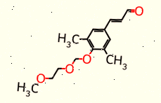 COCCOCOc1c(C)cc(C=CC=O)cc1C